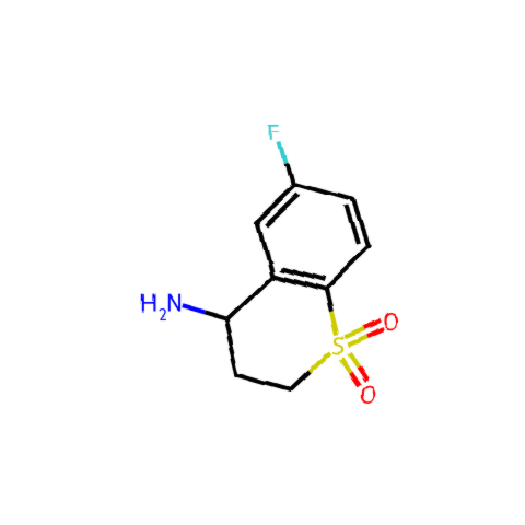 NC1CCS(=O)(=O)c2ccc(F)cc21